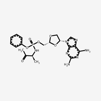 CC(=O)[C@H](C)NP(=O)(OC[C@@H]1OC[C@H](n2cnc3c(N)nc(N)nc32)O1)Oc1ccccc1